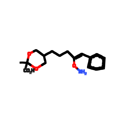 CC1(C(=O)O)OCC(CCCC(=Cc2ccccc2)ON)CO1